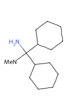 CNC(N)(C1CCCCC1)C1CCCCC1